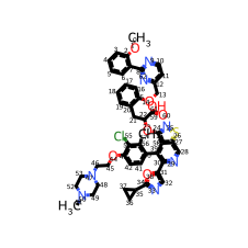 COc1ccccc1-c1nccc(COc2ccccc2CC(Oc2nsc3cnc(-c4cnc(C5CC5)o4)c(-c4ccc(OCCN5CCN(C)CC5)c(Cl)c4C)c23)C(=O)O)n1